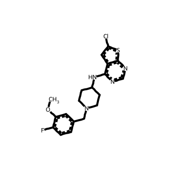 COc1cc(CN2CCC(Nc3ncnc4sc(Cl)cc34)CC2)ccc1F